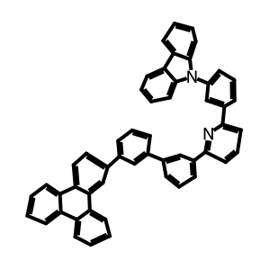 c1cc(-c2cccc(-c3cccc(-c4cccc(-n5c6ccccc6c6ccccc65)c4)n3)c2)cc(-c2ccc3c4ccccc4c4ccccc4c3c2)c1